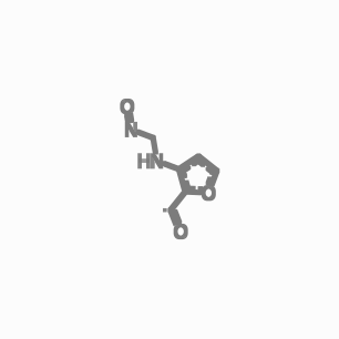 O=[C]c1occc1NCN=O